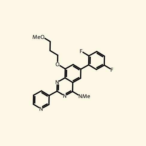 CNc1nc(-c2cccnc2)nc2c(OCCCOC)cc(-c3cc(F)ccc3F)cc12